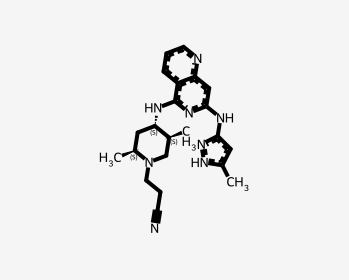 Cc1cc(Nc2cc3ncccc3c(N[C@H]3C[C@H](C)N(CCC#N)C[C@@H]3C)n2)n[nH]1